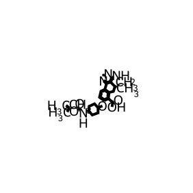 CC(C)(C)OC(=O)NC1CCC(Oc2ccc3c(c2C(=O)O)CC(C)(C)c2c(N)ncnc2-3)CC1